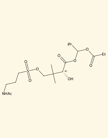 CCC(=O)OC(OC(=O)[C@H](O)C(C)(C)COS(=O)(=O)CCCNC(C)=O)C(C)C